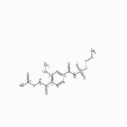 CCCCS(=O)(=O)NC(=O)c1cnc(C(=O)NCC(=O)O)c(OC)c1